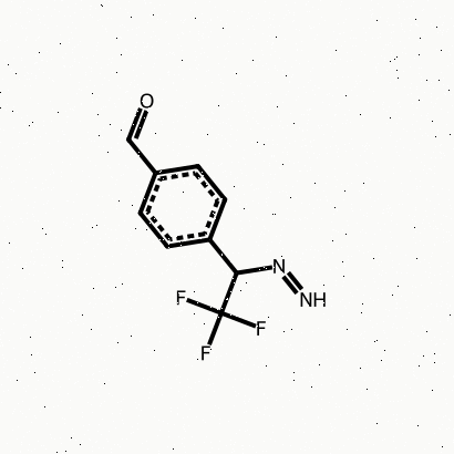 N=NC(c1ccc(C=O)cc1)C(F)(F)F